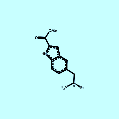 CC[C@@H](N)Cc1ccc2[nH]c(C(=O)OC)cc2c1